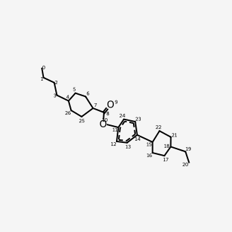 CCCCC1CCC(C(=O)Oc2ccc(C3CCC(CC)CC3)cc2)CC1